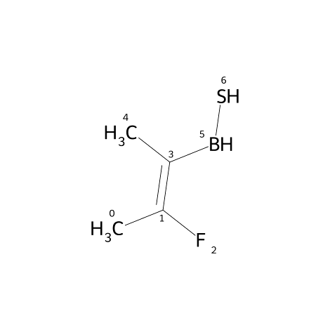 C/C(F)=C(\C)BS